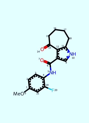 COc1ccc(NC(=O)c2c[nH]c3c2C(=O)CCCC3)c(F)c1